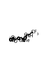 COc1cc(C(=O)NS(=O)(=O)c2ccccc2C)ccc1Cc1cn(C)c2ccc(C(=O)NCCCCC(F)(F)F)cc12